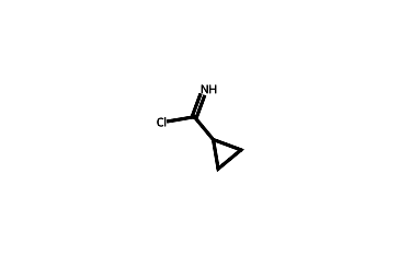 N=C(Cl)C1CC1